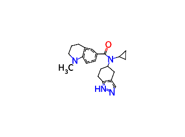 CN1CCCc2cc(C(=O)N(C3CC3)C3CCc4[nH]ncc4C3)ccc21